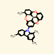 Cc1ccc2c(c1)c1cc(C)cc(C)c1n2-c1cc2c3c(c1)Oc1c(C)ccc4c1B3c1c(cccc1O4)O2